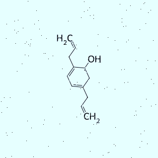 C=CCC1=CC=C(CC=C)[C](O)C1